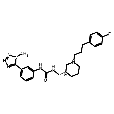 Cn1nnnc1-c1cccc(NC(=O)NC[C@H]2CCCN(CCCc3ccc(F)cc3)C2)c1